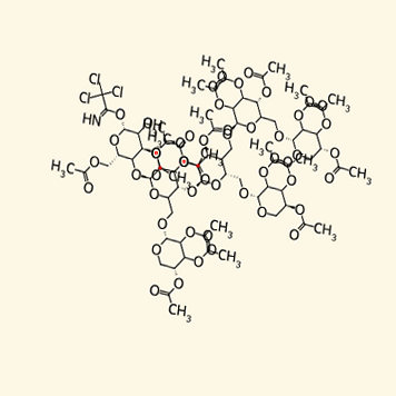 CC(=O)OC[C@@H]1O[C@H](OC(=N)C(Cl)(Cl)Cl)C(O)[C@@H](OC(C)=O)C1O[C@@H]1OC(CO[C@H]2OC[C@@H](OC(C)=O)C(OC(C)=O)C2OC(C)=O)[C@@H](O[C@@H]2O[C@@H](CO[C@H]3OC[C@H](OC(C)=O)C(OC(C)=O)C3OC(C)=O)C(CO[C@@H]3OC(CO[C@H]4OC[C@@H](OC(C)=O)C(OC(C)=O)C4OC(C)=O)[C@@H](OC(C)=O)C(OC(C)=O)C3OC(C)=O)[C@H](OC(C)=O)C2OC(C)=O)C(OC(C)=O)C1OC(C)=O